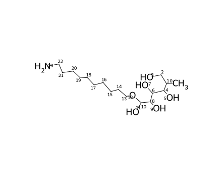 CC(CO)C(O)C(O)C(O)C(O)OCCCCCCCCCCN